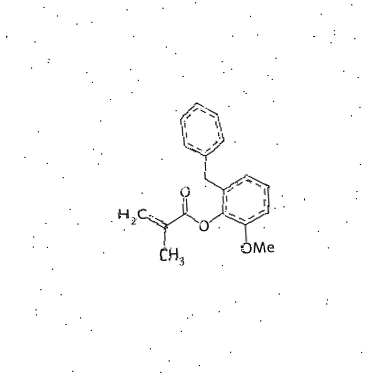 C=C(C)C(=O)Oc1c(Cc2ccccc2)cccc1OC